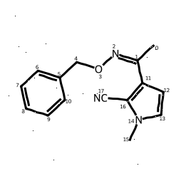 CC(=NOCc1ccccc1)c1ccn(C)c1C#N